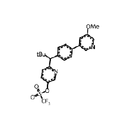 COc1cncc(-c2ccc(C(c3ccc(OS(=O)(=O)C(F)(F)F)cn3)C(C)(C)C)cc2)c1